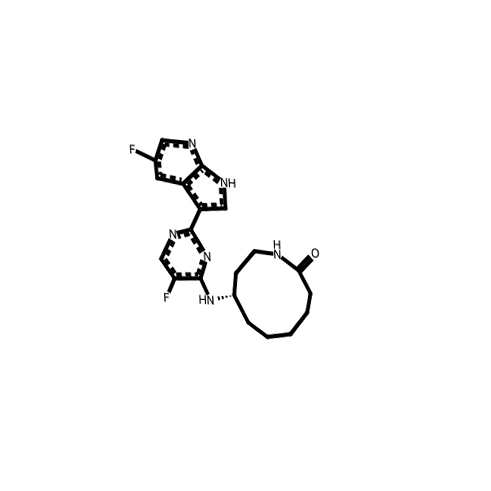 O=C1CCCCC[C@H](Nc2nc(-c3c[nH]c4ncc(F)cc34)ncc2F)CCN1